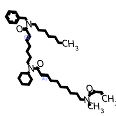 C=CC1OC1N(C)CCCCCCC/C=C/C(=O)N(CCCC/C=C/C(=O)N(CCCCCCC)Cc1ccccc1)C1CCCCC1